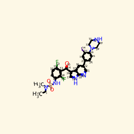 CCN(C)S(=O)(=O)Nc1ccc(F)c(C(=O)c2c[nH]c3ncc(-c4ccc(N5CCNCC5)c(I)c4)cc23)c1F